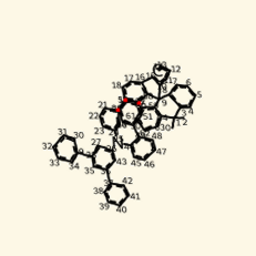 CC1(C)c2ccccc2C2(c3ccccc3-c3ccc(-c4cccc(N(c5cc(-c6ccccc6)cc(-c6ccccc6)c5)c5ccccc5-c5ccccc5)c4)cc32)c2ccccc21